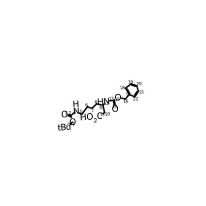 CC(C)(C)OC(=O)NCCCCC(CC(=O)O)NC(=O)OCc1ccccc1